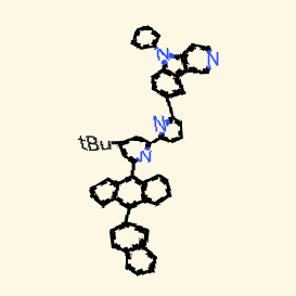 CC(C)(C)c1cc(-c2cccc(-c3ccc4c(c3)c3cnccc3n4-c3ccccc3)n2)nc(-c2c3ccccc3c(-c3ccc4ccccc4c3)c3ccccc23)c1